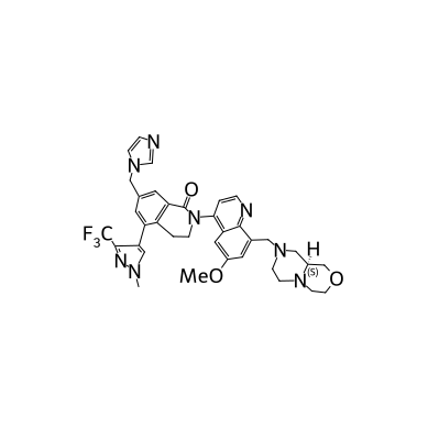 COc1cc(CN2CCN3CCOC[C@@H]3C2)c2nccc(N3CCc4c(cc(Cn5ccnc5)cc4-c4cn(C)nc4C(F)(F)F)C3=O)c2c1